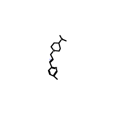 Cc1ccc(/C=C/CN2CCC(N(C)C)CC2)nc1